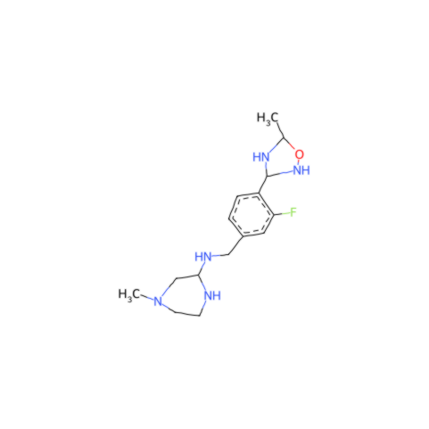 CC1NC(c2ccc(CNC3CN(C)CCN3)cc2F)NO1